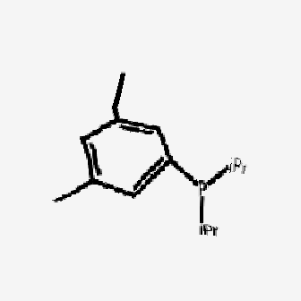 Cc1cc(C)cc(P(C(C)C)C(C)C)c1